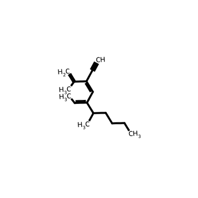 C#C/C(=C/C(=C\C)C(C)CCCC)C(=C)C